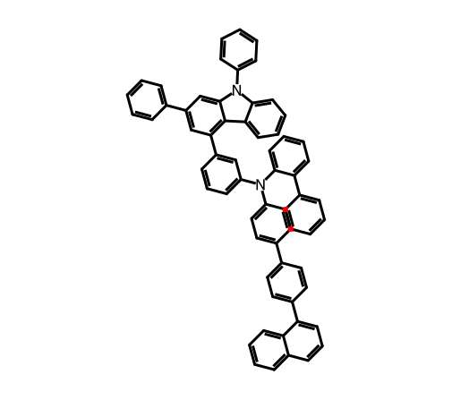 c1ccc(-c2cc(-c3cccc(N(c4ccc(-c5ccc(-c6cccc7ccccc67)cc5)cc4)c4ccccc4-c4ccccc4)c3)c3c4ccccc4n(-c4ccccc4)c3c2)cc1